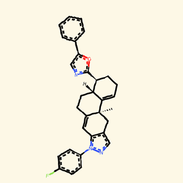 C[C@]12Cc3cnn(-c4ccc(F)cc4)c3C=C1CC[C@H]1C2=CCC[C@@H]1c1ncc(-c2ccccc2)o1